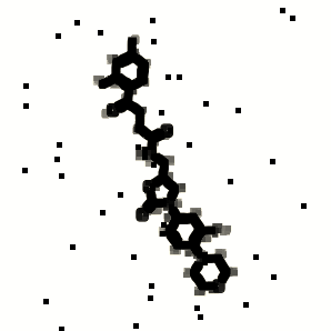 Cc1ccc(C(=O)CCC(=O)NCC2CN(c3ccc(N4CCOCC4)c(F)c3)C(=O)O2)c(C)c1